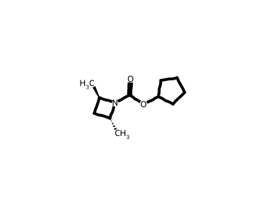 C[C@@H]1C[C@@H](C)N1C(=O)OC1CCCC1